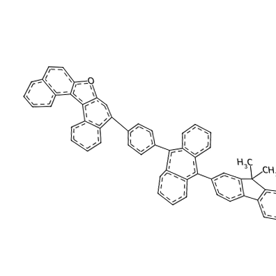 CC1(C)c2ccccc2-c2ccc(-c3c4ccccc4c(-c4ccc(-c5cc6oc7ccc8ccccc8c7c6c6ccccc56)cc4)c4ccccc34)cc21